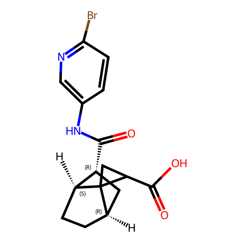 O=C(O)C1CC12[C@@H]1CC[C@H]2[C@H](C(=O)Nc2ccc(Br)nc2)C1